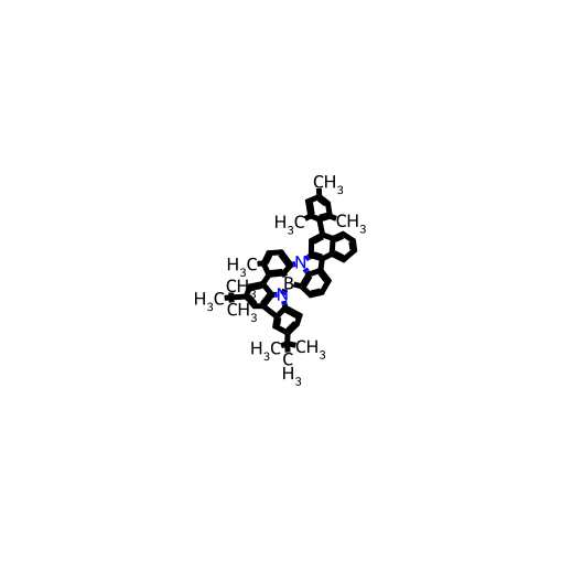 Cc1cc(C)c(-c2cc3c(c4ccccc24)c2cccc4c2n3-c2ccc(C)c3c2B4n2c4ccc(C(C)(C)C)cc4c4cc(C(C)(C)C)cc-3c42)c(C)c1